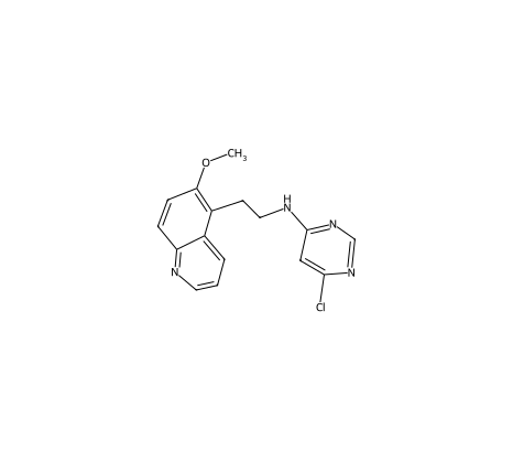 COc1ccc2ncccc2c1CCNc1cc(Cl)ncn1